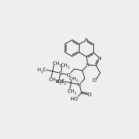 CC(C)(C)N(CC(CO[Si](C)(C)C(C)(C)C)n1c(CCl)nc2cnc3ccccc3c21)C(=O)O